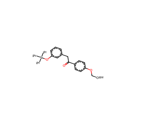 COCOc1ccc(C(=O)Cc2cccc(O[Si](C(C)C)(C(C)C)C(C)C)c2)cc1